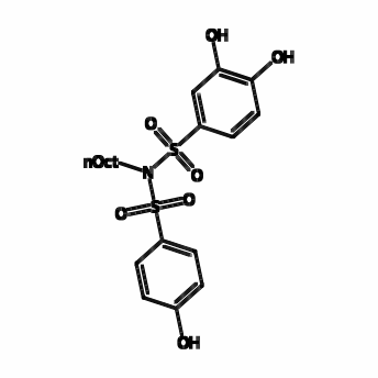 CCCCCCCCN(S(=O)(=O)c1ccc(O)cc1)S(=O)(=O)c1ccc(O)c(O)c1